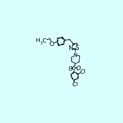 CCOc1ccc(Cc2csc(N3CCC(S(=O)(=O)c4ccc(Cl)cc4Cl)CC3)n2)cc1